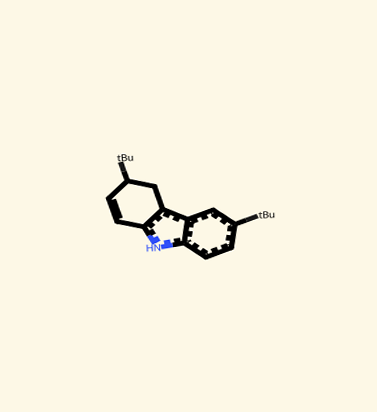 CC(C)(C)c1ccc2[nH]c3c(c2c1)CC(C(C)(C)C)C=C3